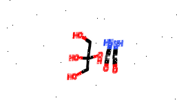 N=C=O.N=C=O.OCC(O)(O)CO